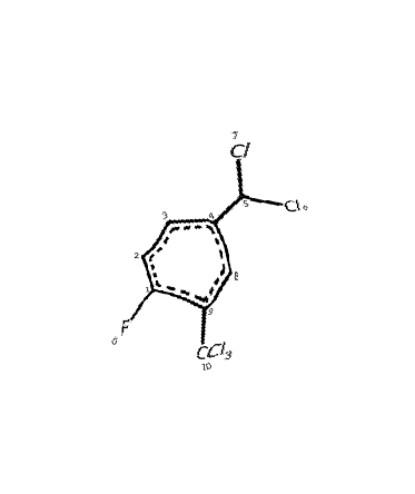 Fc1ccc(C(Cl)Cl)cc1C(Cl)(Cl)Cl